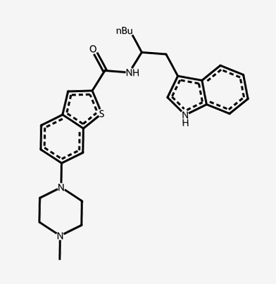 CCCCC(Cc1c[nH]c2ccccc12)NC(=O)c1cc2ccc(N3CCN(C)CC3)cc2s1